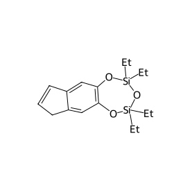 CC[Si]1(CC)Oc2cc3c(cc2O[Si](CC)(CC)O1)CC=C3